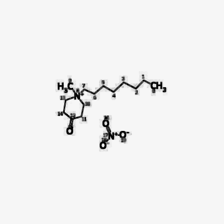 CCCCCCCC[N+]1(C)CCC(=O)CC1.O=[N+]([O-])[O-]